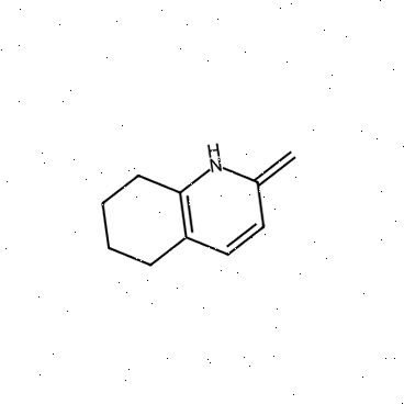 C=C1C=CC2=C(CCCC2)N1